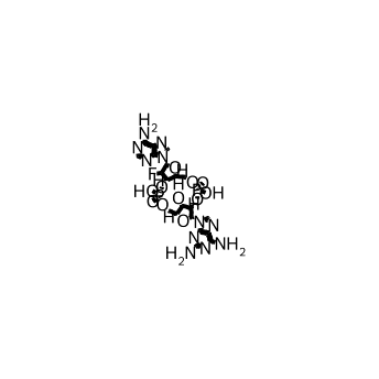 Nc1nc(N)c2ncn([C@@H]3O[C@@H]4COP(=O)(O)O[C@@H]5C(F)[C@H](n6cnc7c(N)ncnc76)O[C@@H]5COP(=O)(O)O[C@H]3C4O)c2n1